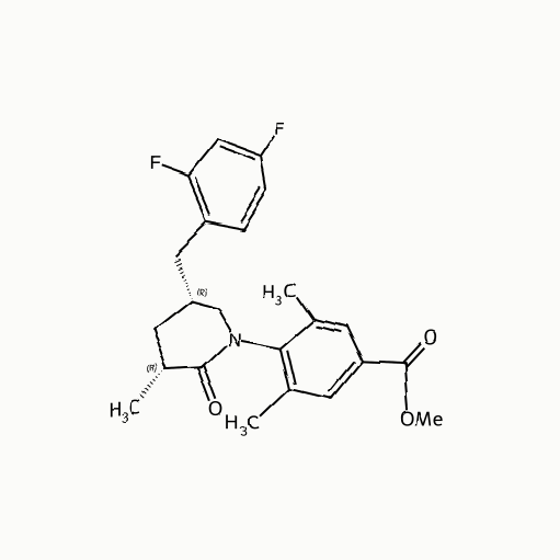 COC(=O)c1cc(C)c(N2C[C@@H](Cc3ccc(F)cc3F)C[C@@H](C)C2=O)c(C)c1